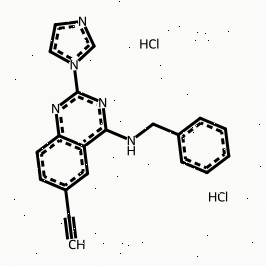 C#Cc1ccc2nc(-n3ccnc3)nc(NCc3ccccc3)c2c1.Cl.Cl